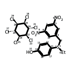 CC[S+](Cc1cc([N+](=O)[O-])cc([N+](=O)[O-])c1)c1ccc(O)cc1.Cl[C@H]1[C@H](Cl)[C@@H](Cl)[C@@H](Cl)[C@H](Cl)[C@H]1Cl